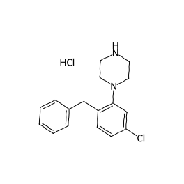 Cl.Clc1ccc(Cc2ccccc2)c(N2CCNCC2)c1